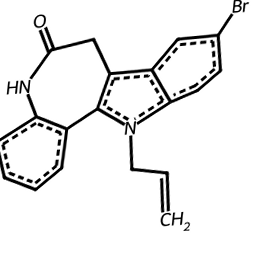 C=CCn1c2c(c3cc(Br)ccc31)CC(=O)Nc1ccccc1-2